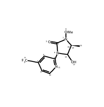 CON1C(=O)N(c2cc(C(F)(F)F)ccn2)C(O)[C@@H]1C